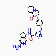 Nc1cc2c(cn1)C(NC(=O)c1cn(Cc3ccc(N4CCN5CCCCC5C4=O)cc3)nn1)CC2